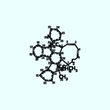 C=C1/C=C\C=C/CC(C)(C)c2c3c(c4c5ccccc5n(-c5ccccn5)c4c21)-c1ccccc1C3(C)C